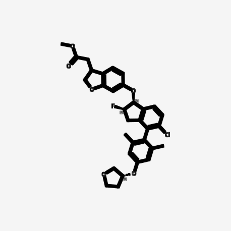 COC(=O)CC1COc2cc(O[C@H]3c4ccc(Cl)c(-c5c(C)cc(O[C@@H]6CCOC6)cc5C)c4C[C@H]3F)ccc21